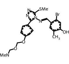 CNCOCOc1ccc(-c2nnc(SC)n2/N=C/c2cc(C)c(O)cc2Br)cc1